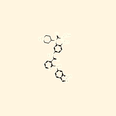 CC(C)(C)OC(=O)N(c1cc(NC(=O)c2cccnc2Nc2ccc3cn[nH]c3c2)ccc1C(C)(C)C)C1CCNCC1